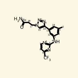 Cc1cc(Nc2nccc(C(F)(F)F)n2)cc(-c2cn(CCC(N)=O)nn2)c1